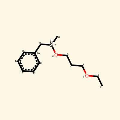 CCOCCCO[SiH](C)Cc1ccccc1